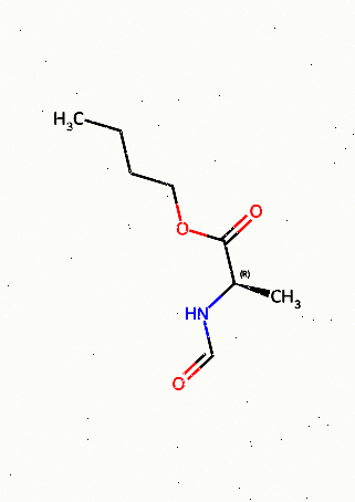 CCCCOC(=O)[C@@H](C)NC=O